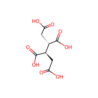 O=C(O)C[C@H](C(=O)O)[C@@H](CC(=O)O)C(=O)O